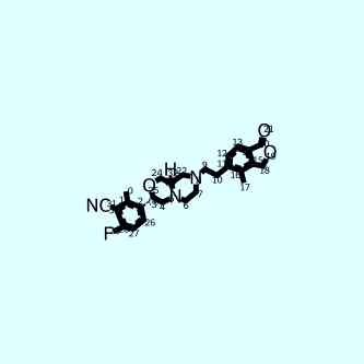 Cc1c([C@H]2CN3CCN(CCc4ccc5c(c4C)COC5=O)C[C@H]3CO2)ccc(F)c1C#N